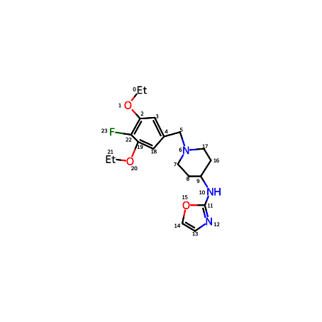 CCOc1cc(CN2CCC(Nc3ncco3)CC2)cc(OCC)c1F